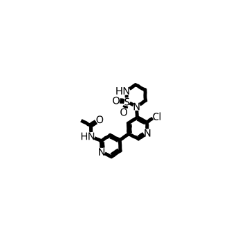 CC(=O)Nc1cc(-c2cnc(Cl)c(N3CCCNS3(=O)=O)c2)ccn1